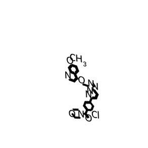 COc1ccc2c(OCc3nnc4ccc(C5=CC=C(C(=O)N6CCOCC6)C(Cl)C5)nn34)ccnc2c1